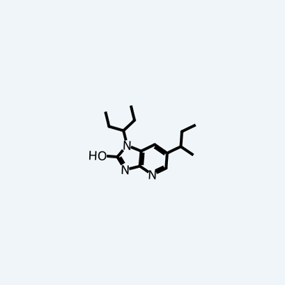 CCC(C)c1cnc2nc(O)n(C(CC)CC)c2c1